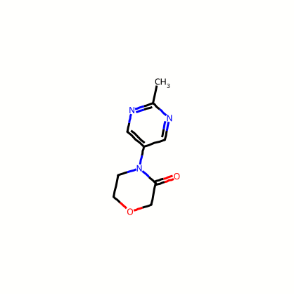 Cc1ncc(N2CCOCC2=O)cn1